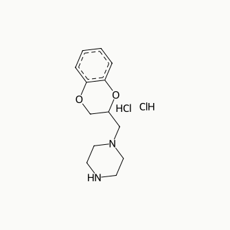 Cl.Cl.c1ccc2c(c1)OCC(CN1CCNCC1)O2